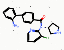 Nc1ccccc1-c1ccc(C(=O)N(c2ncccc2Cl)[C@@H]2CCNC2)cc1